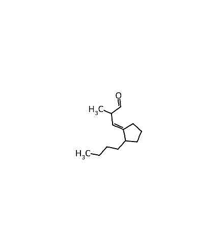 CCCCC1CCCC1=CC(C)C=O